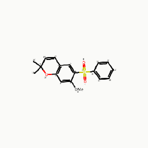 COc1cc2c(cc1S(=O)(=O)c1ccccc1)C=CC(C)(C)O2